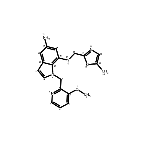 COc1cccnc1Cn1ccc2cc(N)cc(NCc3ncc(C)o3)c21